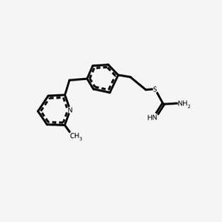 Cc1cccc(Cc2ccc(CCSC(=N)N)cc2)n1